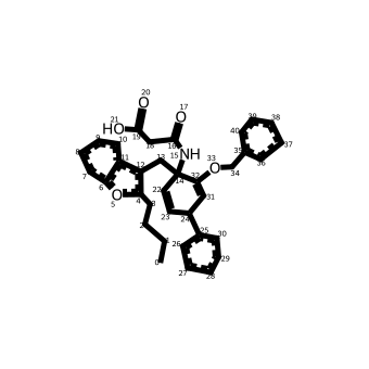 CCCCc1oc2ccccc2c1CC1(NC(=O)CC(=O)O)C=CC(c2ccccc2)C=C1OCc1ccccc1